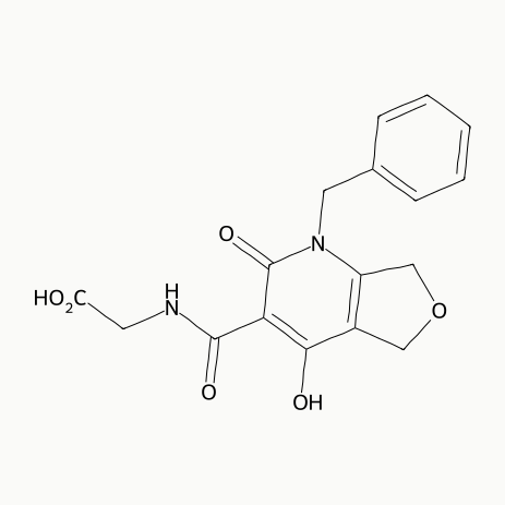 O=C(O)CNC(=O)c1c(O)c2c(n(Cc3ccccc3)c1=O)COC2